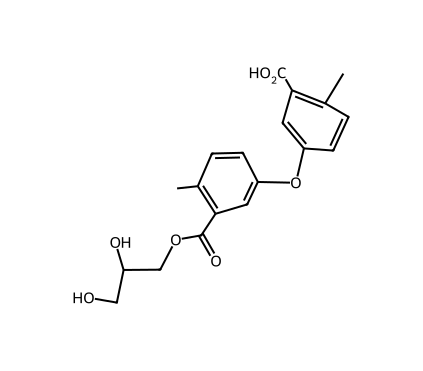 Cc1ccc(Oc2ccc(C)c(C(=O)OCC(O)CO)c2)cc1C(=O)O